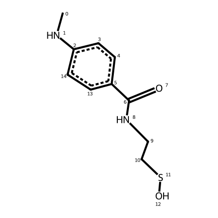 CNc1ccc(C(=O)NCCSO)cc1